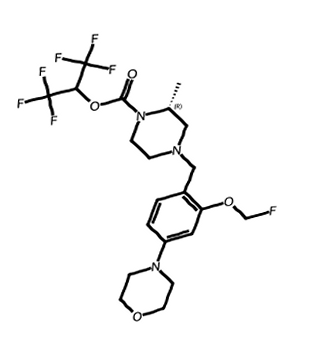 C[C@@H]1CN(Cc2ccc(N3CCOCC3)cc2OCF)CCN1C(=O)OC(C(F)(F)F)C(F)(F)F